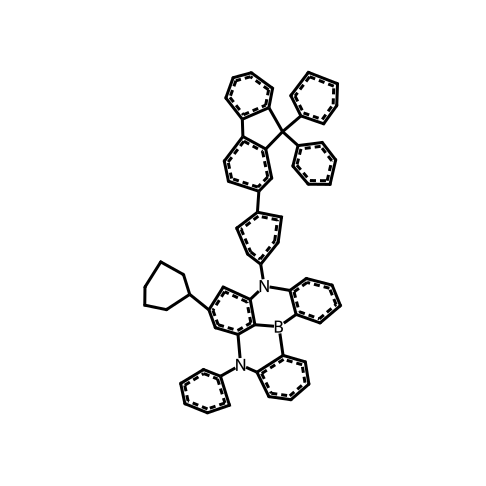 c1ccc(N2c3ccccc3B3c4ccccc4N(c4ccc(-c5ccc6c(c5)C(c5ccccc5)(c5ccccc5)c5ccccc5-6)cc4)c4cc(C5CCCCC5)cc2c43)cc1